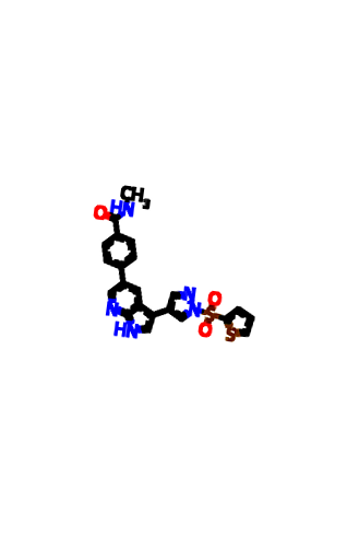 CNC(=O)c1ccc(-c2cnc3[nH]cc(-c4cnn(S(=O)(=O)c5cccs5)c4)c3c2)cc1